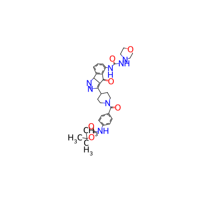 CC(C)(C)OC(=O)Nc1ccc(C(=O)N2CCC(C3=C4C(=O)c5c(NC(=O)NN6CCOCC6)cccc5C4N=N3)CC2)cc1